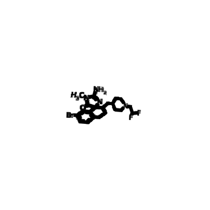 CN1C(=O)C2(N=C1N)c1cc(Br)ccc1CCC2CC1CCN(CC(F)F)CC1